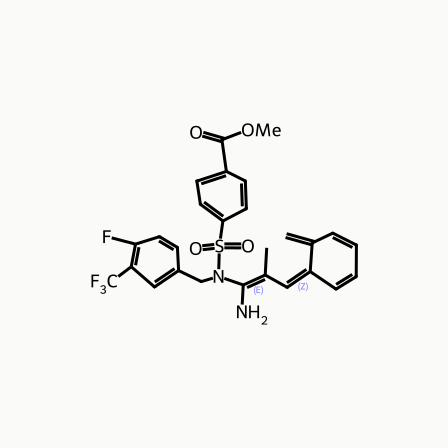 C=c1cccc/c1=C/C(C)=C(\N)N(Cc1ccc(F)c(C(F)(F)F)c1)S(=O)(=O)c1ccc(C(=O)OC)cc1